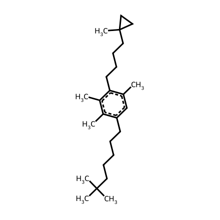 Cc1cc(CCCCCC(C)(C)C)c(C)c(C)c1CCCCC1(C)CC1